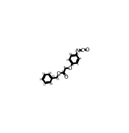 O=C=Nc1ccc(OCC(=O)OCc2ccccc2)cc1